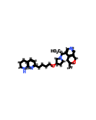 CC(C)C1Cc2c(cncc2[C@@H](C(=O)O)N2CC[C@@H](OCCCCc3ccc4c(n3)NCCC4)C2)CO1